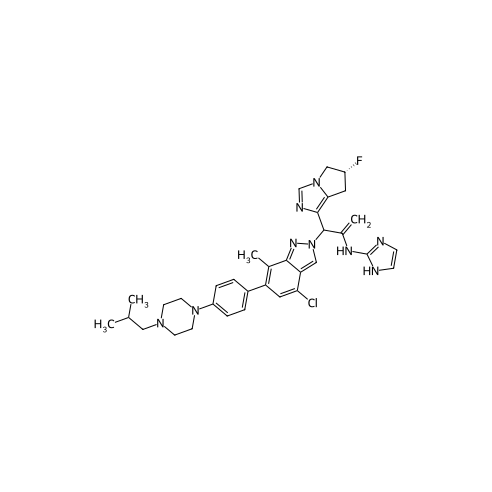 C=C(Nc1ncc[nH]1)C(c1ncn2c1C[C@@H](F)C2)n1cc2c(Cl)cc(-c3ccc(N4CCN(CC(C)C)CC4)cc3)c(C)c2n1